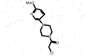 COc1ccc(N2CCN(C(=O)CCl)CC2)cn1